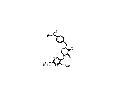 CCN(CC)c1ccc(CN2CCN(Cc3cnc(OC)nc3OC)C(=O)C2=O)cc1